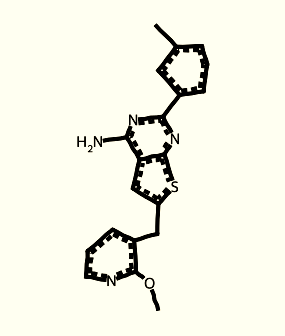 COc1ncccc1Cc1cc2c(N)nc(-c3cccc(C)c3)nc2s1